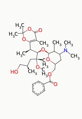 CO[C@](C)(C[C@@H](C)CO)[C@H](O[C@@H]1OC(COC(=O)c2ccccc2)CC(N(C)C)C1C)[C@@H](C)C1=C(C)C(=O)OC(C)(C)O1